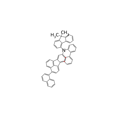 CC1(C)c2ccccc2-c2c(N(c3ccc4c(c3)-c3cccc5c(-c6cccc7ccccc67)ccc-4c35)c3ccccc3-c3ccccc3)cccc21